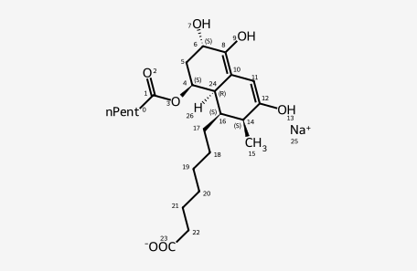 CCCCCC(=O)O[C@H]1C[C@H](O)C(O)=C2C=C(O)[C@@H](C)[C@@H](CCCCCCC(=O)[O-])[C@H]21.[Na+]